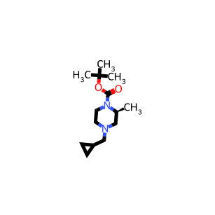 C[C@H]1CN(CC2CC2)CCN1C(=O)OC(C)(C)C